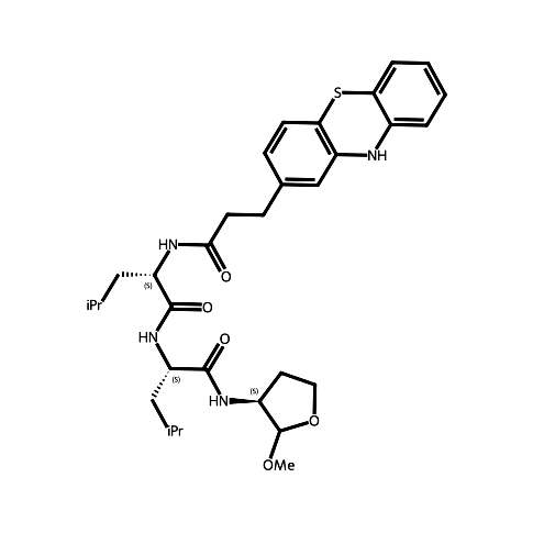 COC1OCC[C@@H]1NC(=O)[C@H](CC(C)C)NC(=O)[C@H](CC(C)C)NC(=O)CCc1ccc2c(c1)Nc1ccccc1S2